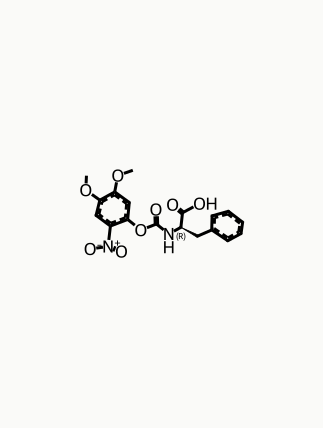 COc1cc(OC(=O)N[C@H](Cc2ccccc2)C(=O)O)c([N+](=O)[O-])cc1OC